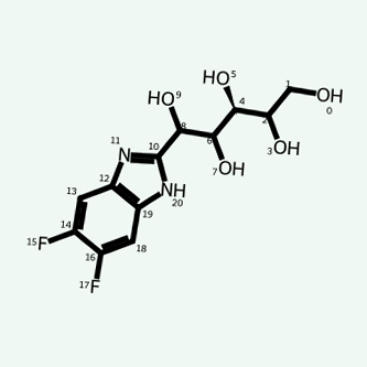 OCC(O)[C@H](O)C(O)C(O)c1nc2cc(F)c(F)cc2[nH]1